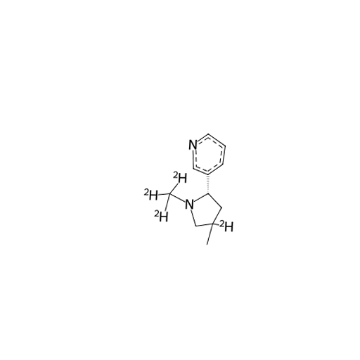 [2H]C1(C)C[C@@H](c2cccnc2)N(C([2H])([2H])[2H])C1